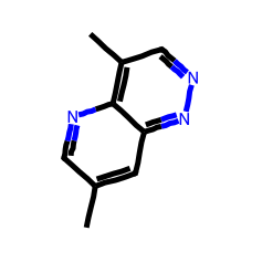 Cc1cnc2c(C)cnnc2c1